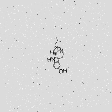 CC(C)C[C@H]1C[C@H]2c3[nH]c4ccc(O)cc4c3CCN(C1)C2C